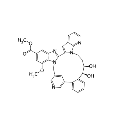 COC(=O)c1cc(OC)c2c(c1)nc1n2Cc2cncc(c2)-c2ccccc2[C@H](O)[C@H](O)CCn2c-1cc1cccnc12